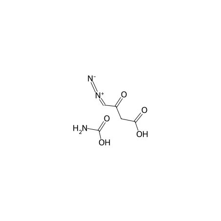 NC(=O)O.[N-]=[N+]=CC(=O)CC(=O)O